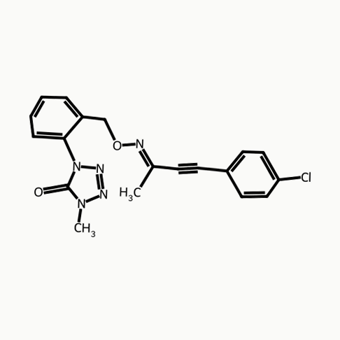 C/C(C#Cc1ccc(Cl)cc1)=N\OCc1ccccc1-n1nnn(C)c1=O